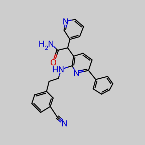 N#Cc1cccc(CCNc2nc(-c3ccccc3)ccc2C(C(N)=O)c2cccnc2)c1